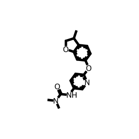 CC1COc2cc(Oc3ccc(NC(=O)N(C)C)cn3)ccc21